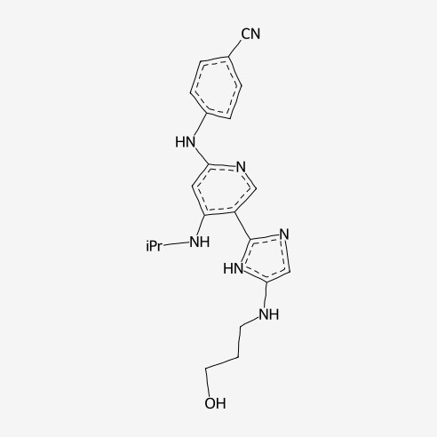 CC(C)Nc1cc(Nc2ccc(C#N)cc2)ncc1-c1ncc(NCCCO)[nH]1